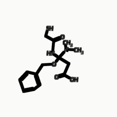 CN(C)C(CC(=O)O)(NC(=O)CS)OCc1ccccc1